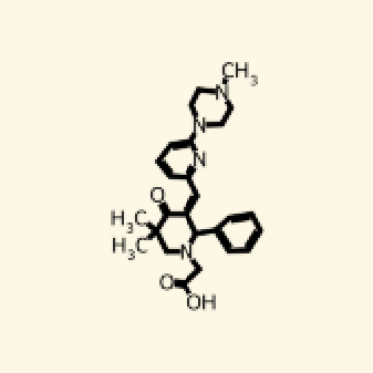 CN1CCN(c2cccc(C=C3C(=O)C(C)(C)CN(CC(=O)O)C3c3ccccc3)n2)CC1